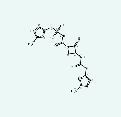 Cc1cc(NS(=O)(=O)NC(=O)N2C[C@H](NC(=O)Cc3csc(N)n3)C2=O)ns1